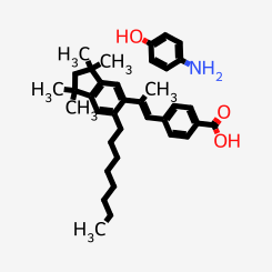 CCCCCCCCc1cc2c(cc1C(C)=Cc1ccc(C(=O)O)cc1)C(C)(C)CC2(C)C.Nc1ccc(O)cc1